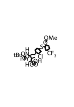 CCC[C@@](CCc1ccc(Sc2cc(C(F)(F)F)ccc2OCOC)cc1Cl)(NC(=O)OC(C)(C)C)C(C)=C(C)P(=O)(O)O